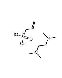 C=CC[SeH](=O)(O)O.CN(C)CCN(C)C